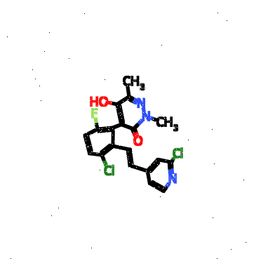 Cc1nn(C)c(=O)c(-c2c(F)ccc(Cl)c2/C=C/c2ccnc(Cl)c2)c1O